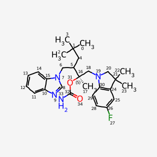 CC(C)(C)CC(Cn1cnc2ccccc21)[C@@](C)(CN1CC(C)(C)c2cc(F)ccc21)OC(N)=O